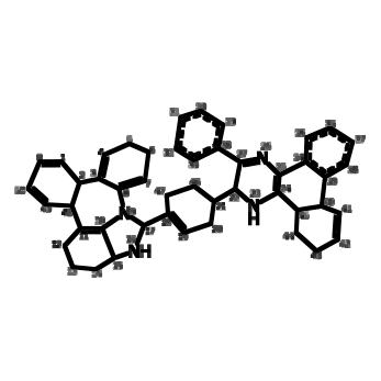 C1=CC2C3=CCCC=C3N3C4=C(CCCC4NC3C3=CCC(C4NC5=C(N=C4c4ccccc4)c4ccccc4C4C=CCCC54)CC3)C2C=C1